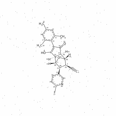 [C-]#[N+][C@@H]1[C@@H]2O[C@@H]([C@H]3C(O)=C(c4c(C)cc(C)cc4C)C(=O)[C@@H]23)[C@@H]1c1ccc(F)nc1